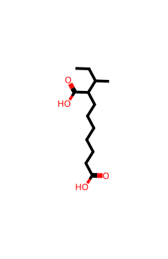 CCC(C)C(CCCCCCC(=O)O)C(=O)O